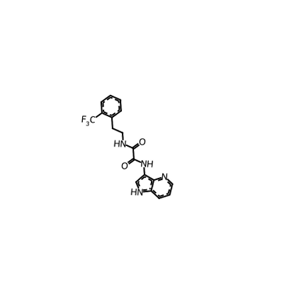 O=C(NCCc1ccccc1C(F)(F)F)C(=O)Nc1c[nH]c2cccnc12